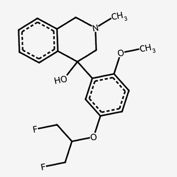 COc1ccc(OC(CF)CF)cc1C1(O)CN(C)Cc2ccccc21